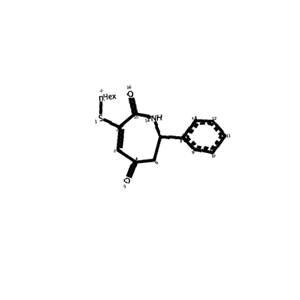 CCCCCCSC1=CC(=O)CC(c2ccccc2)NC1=O